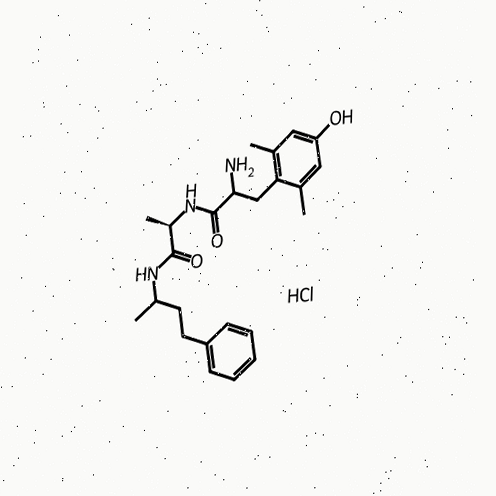 Cc1cc(O)cc(C)c1CC(N)C(=O)N[C@H](C)C(=O)NC(C)CCc1ccccc1.Cl